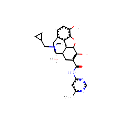 COc1cc(NC(=O)C2=C(O)C3Oc4c(O)ccc5c4[C@@]34CCN(CC3CC3)[C@H](C5)[C@]4(O)C2)ncn1